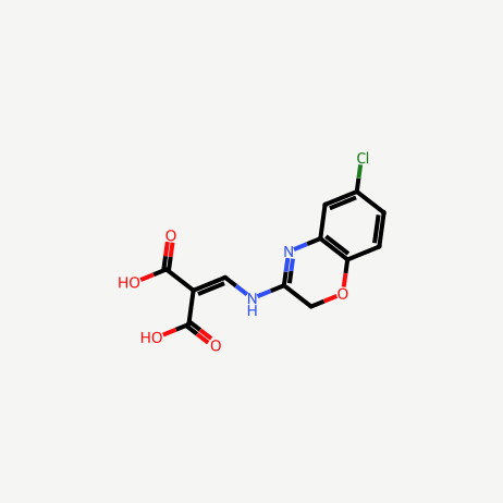 O=C(O)C(=CNC1=Nc2cc(Cl)ccc2OC1)C(=O)O